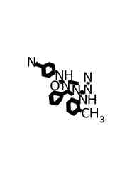 Cc1ccccc1N/C(=N/C#N)N1CCN(C(=O)Nc2ccc(C#N)cc2)C(c2ccccc2)C1